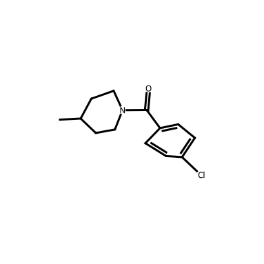 CC1CCN(C(=O)c2ccc(Cl)cc2)CC1